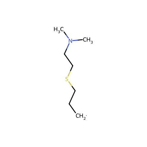 [CH2]CCSCCN(C)C